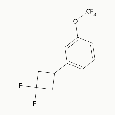 FC1(F)CC(c2cccc(OC(F)(F)F)c2)C1